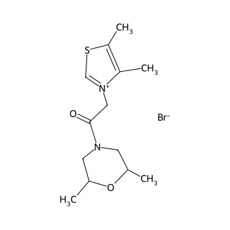 Cc1sc[n+](CC(=O)N2CC(C)OC(C)C2)c1C.[Br-]